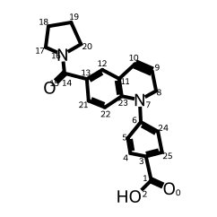 O=C(O)c1ccc(N2CC#Cc3cc(C(=O)N4CCCC4)ccc32)cc1